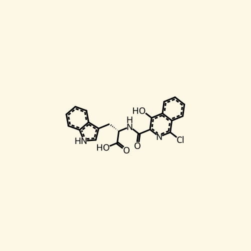 O=C(N[C@@H](Cc1c[nH]c2ccccc12)C(=O)O)c1nc(Cl)c2ccccc2c1O